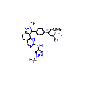 CC/C(C)=C/C(=C\NC)c1ccc(-c2c3c(nn2C)CCc2cnc(Nc4cnn(C)c4)nc2-3)cc1